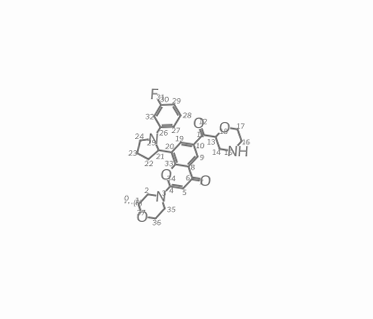 C[C@@H]1CN(c2cc(=O)c3cc(C(=O)C4CNCCO4)cc(C4CCCN4c4cccc(F)c4)c3o2)CCO1